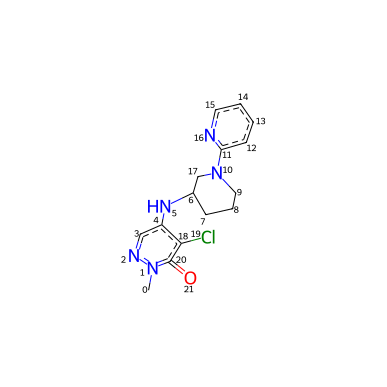 Cn1ncc(NC2CCCN(c3ccccn3)C2)c(Cl)c1=O